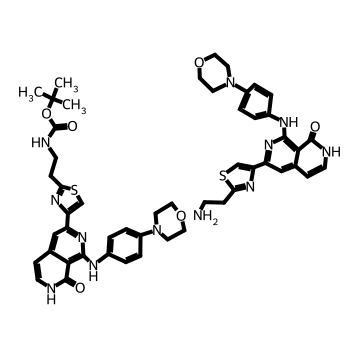 CC(C)(C)OC(=O)NCCc1nc(-c2cc3cc[nH]c(=O)c3c(Nc3ccc(N4CCOCC4)cc3)n2)cs1.NCCc1nc(-c2cc3cc[nH]c(=O)c3c(Nc3ccc(N4CCOCC4)cc3)n2)cs1